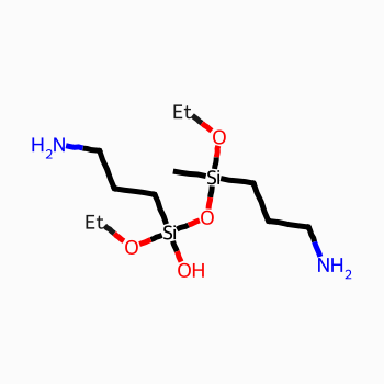 CCO[Si](C)(CCCN)O[Si](O)(CCCN)OCC